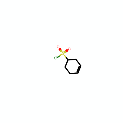 O=S(=O)(Cl)C1CC=CCC1